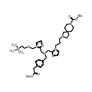 COC(=O)Cc1ccc(CN(Cc2nccn2CCCN2CCC3(CCN(C(=O)OC(C)(C)C)CC3)C2)Cc2nccn2COCC[Si](C)(C)C)cc1